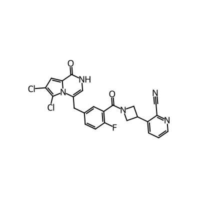 N#Cc1ncccc1C1CN(C(=O)c2cc(Cc3c[nH]c(=O)c4cc(Cl)c(Cl)n34)ccc2F)C1